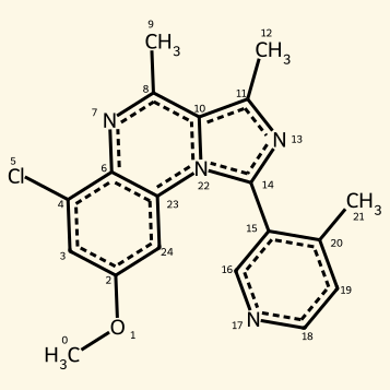 COc1cc(Cl)c2nc(C)c3c(C)nc(-c4cnccc4C)n3c2c1